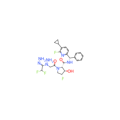 N/N=C(/C(F)F)N(N)CC(=O)N1C[C@@H](F)[C@H](O)[C@H]1C(=O)N[C@@H](c1ccccc1)c1ccc(C2CC2)c(F)n1